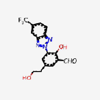 O=Cc1cc(CCO)cc(-n2nc3ccc(C(F)(F)F)cc3n2)c1O